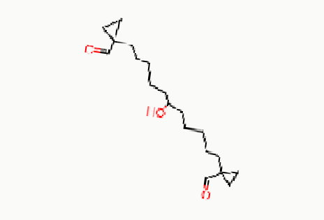 O=CC1(CCCCCC(O)CCCCCC2(C=O)CC2)CC1